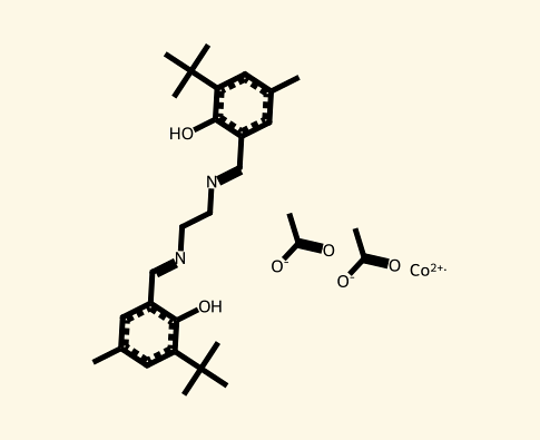 CC(=O)[O-].CC(=O)[O-].Cc1cc(C=NCCN=Cc2cc(C)cc(C(C)(C)C)c2O)c(O)c(C(C)(C)C)c1.[Co+2]